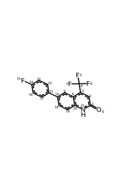 O=c1cc(C(F)(F)F)c2cc(-c3ccc(F)cc3)ccc2[nH]1